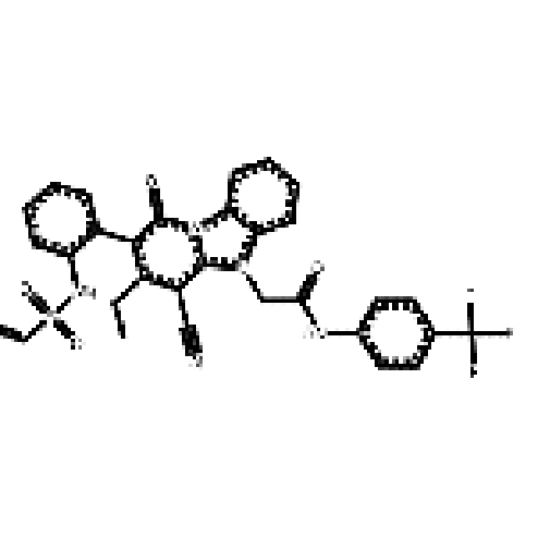 C=CS(=O)(=O)Nc1ccccc1-c1c(CC)c(C#N)c2n(CC(=O)Nc3ccc(C(F)(F)F)cc3)c3ccccc3n2c1=O